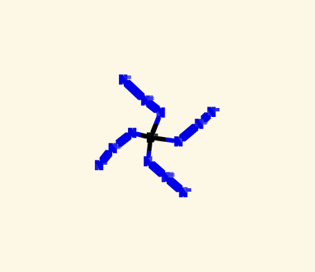 [N-]=[N+]=N[B-](N=[N+]=[N-])(N=[N+]=[N-])N=[N+]=[N-]